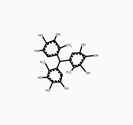 Cc1c(C(c2cc(O)c(O)c(O)c2C)c2cc(O)c(O)c(O)c2C)cc(O)c(O)c1O